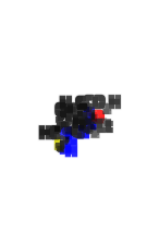 C#Cc1cc(C)ccc1[C@@H]1N=C(c2nccs2)NC(CN2CCN3C(=O)N(CC(C)(C)C(=O)O)C[C@@H]3C2)=C1C(=O)OCC